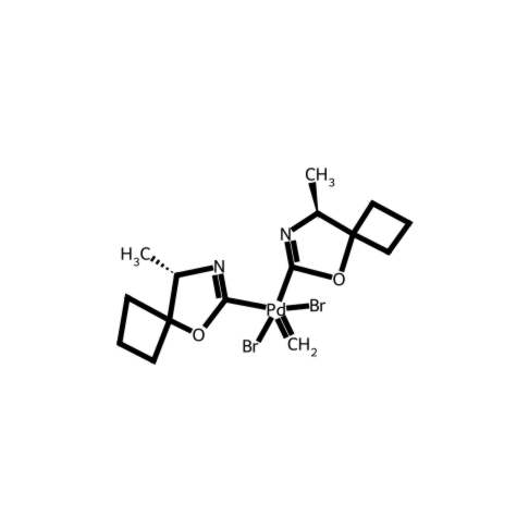 [CH2]=[Pd]([Br])([Br])([C]1=N[C@@H](C)C2(CCC2)O1)[C]1=N[C@@H](C)C2(CCC2)O1